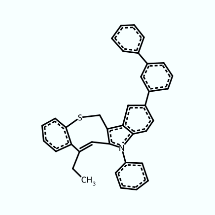 CC/C1=C\c2c(c3cc(-c4cccc(-c5ccccc5)c4)ccc3n2-c2ccccc2)CSc2ccccc21